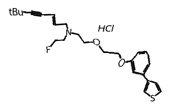 CC(C)(C)C#CC=CCN(CCF)CCOCCOc1cccc(-c2ccsc2)c1.Cl